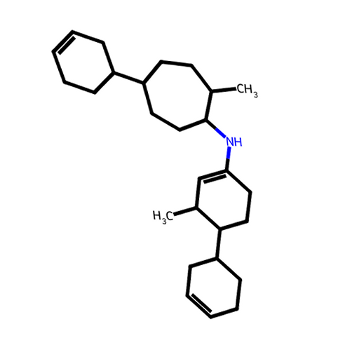 CC1C=C(NC2CCC(C3CC=CCC3)CCC2C)CCC1C1CC=CCC1